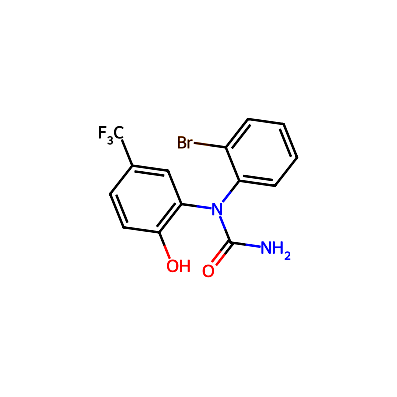 NC(=O)N(c1cc(C(F)(F)F)ccc1O)c1ccccc1Br